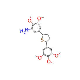 COc1cc(C2CCC(c3cc(OC)c(OC)c(OC)c3)S2)cc(N)c1OC